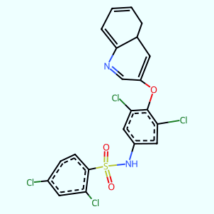 O=S(=O)(Nc1cc(Cl)c(OC2=CC3CC=CC=C3N=C2)c(Cl)c1)c1ccc(Cl)cc1Cl